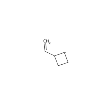 C=CC1[CH]CC1